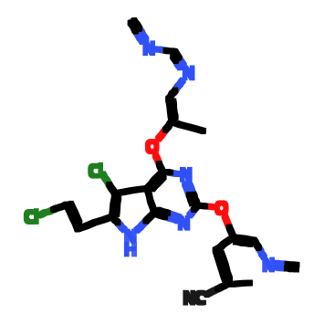 C=N/C=N\C=C(/C)Oc1nc(OC(/C=C(\C)C#N)=C/N=C)nc2[nH]c(/C=C/Cl)c(Cl)c12